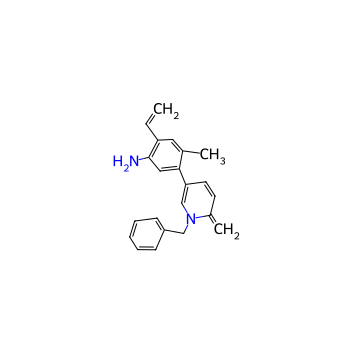 C=Cc1cc(C)c(C2=CN(Cc3ccccc3)C(=C)C=C2)cc1N